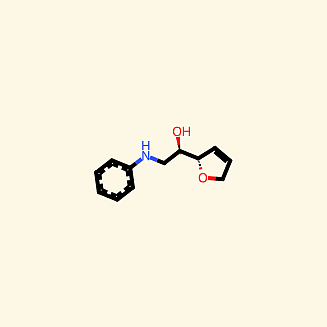 O[C@H](CNc1ccccc1)[C@@H]1C=CCO1